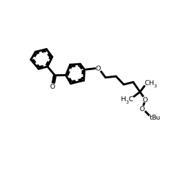 CC(C)(C)OOC(C)(C)CCCCOc1ccc(C(=O)c2ccccc2)cc1